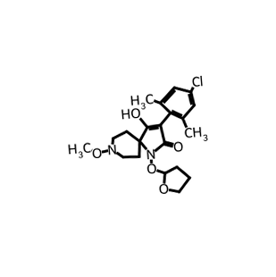 CON1CCC2(CC1)C(O)=C(c1c(C)cc(Cl)cc1C)C(=O)N2OC1CCCO1